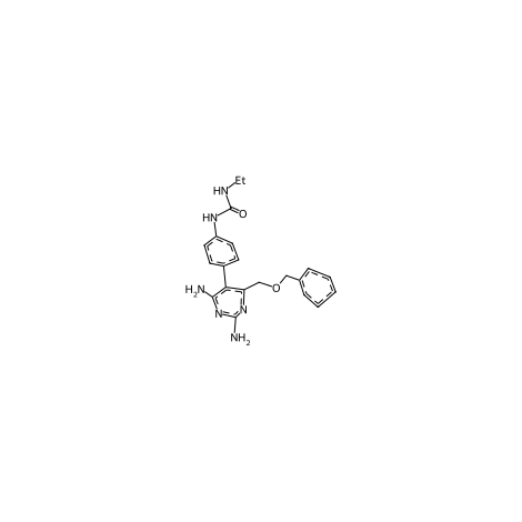 CCNC(=O)Nc1ccc(-c2c(N)nc(N)nc2COCc2ccccc2)cc1